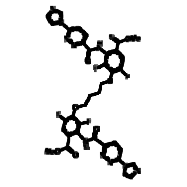 COC(=O)c1cc(F)c(OCCCCOc2c(F)cc(C(=O)OC)c(NC(=O)c3ccc(-n4ccnc4)nn3)c2F)c(F)c1NC(=O)c1ccc(-n2ccnc2)nn1